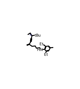 C=C(C#C/C(=C\C)C(C)(C)C)CCCCNc1c(CC)cc(C)cc1CC